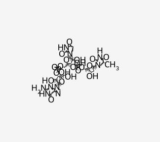 Cc1cn([C@H]2CC(O)[C@@H](COP(=O)(O)OC3[C@@H](COP(=O)(O)OC4[C@@H](CO)O[C@@H](n5cnc6c(=O)[nH]c(N)nc65)[C@H]4O)O[C@@H](n4ccc(=O)[nH]c4=O)[C@H]3O)O2)c(=O)[nH]c1=O